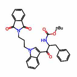 CCCCOC(=O)NC(Cc1ccccc1)C(=O)c1cn(CCCN2C(=O)c3ccccc3C2=O)c2ccccc12